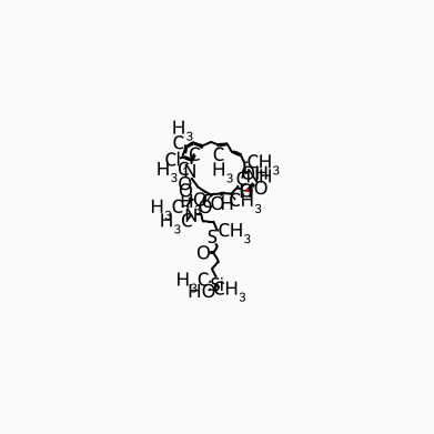 C/C1=C\C=C\[C@@H](C)[C@@]2(O)C[C@H](OC(=O)N2)[C@@H](C)[C@@H]2O[C@]2(C)[C@@H](OC(=O)[C@H](C)N(C)C(=O)CCC(C)SCC(=O)CCC[Si](C)(C)O)CC(=O)N(C)c2cc(cc(C)c2Cl)C1